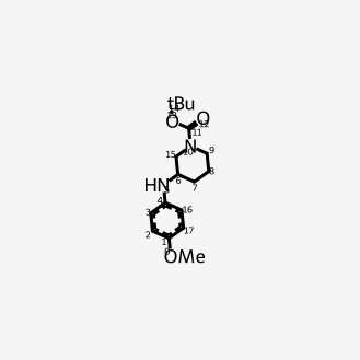 COc1ccc(NC2CCCN(C(=O)OC(C)(C)C)C2)cc1